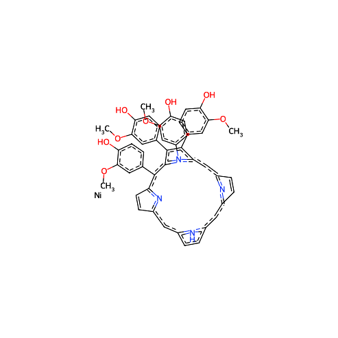 COc1cc(-c2c(-c3ccc(O)c(OC)c3)c3c(-c4ccc(O)c(OC)c4)c4nc(cc5ccc(cc6nc(cc2n3-c2ccc(O)c(OC)c2)C=C6)[nH]5)C=C4)ccc1O.[Ni]